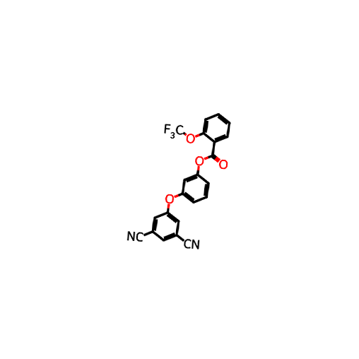 N#Cc1cc(C#N)cc(Oc2cccc(OC(=O)c3ccccc3OC(F)(F)F)c2)c1